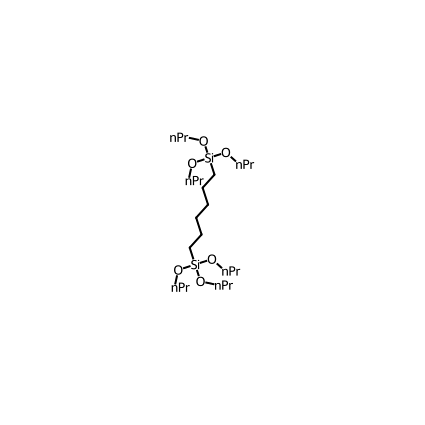 CCCO[Si](CCCCCC[Si](OCCC)(OCCC)OCCC)(OCCC)OCCC